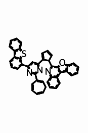 C1=CCC=C(c2nc(C3=CC=CC3c3nc4ccccc4c4c3oc3ccccc34)cc(-c3cccc4c3sc3ccccc34)n2)C=C1